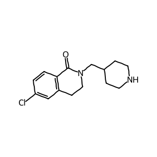 O=C1c2ccc(Cl)cc2CCN1CC1CCNCC1